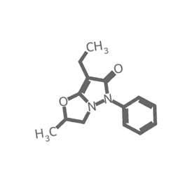 CCc1c2n(n(-c3ccccc3)c1=O)CC(C)O2